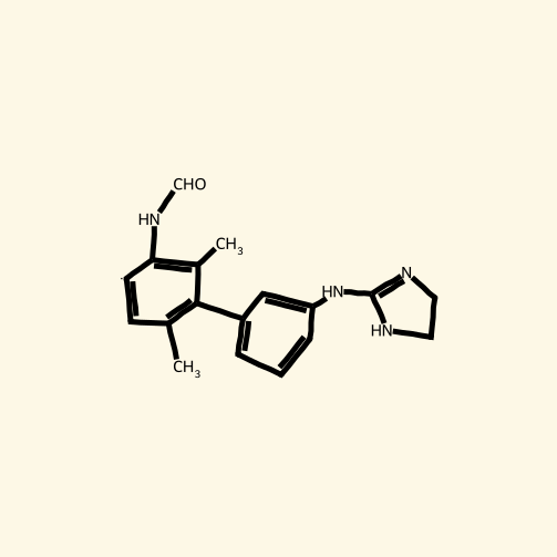 Cc1c[c]c(NC=O)c(C)c1-c1cccc(NC2=NCCN2)c1